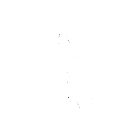 CC(C)(CCNCCCCNCCC(C)(C)NC(=O)OC(C)(C)C)NC(=N)OC(C)(C)C